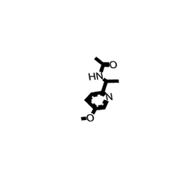 COc1ccc(C(C)NC(C)=O)nc1